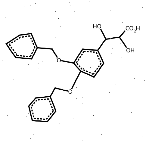 O=C(O)C(O)C(O)c1ccc(OCc2ccccc2)c(OCc2ccccc2)c1